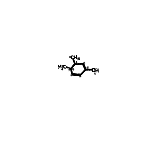 CC1CC(O)C=C[C@H]1C